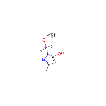 CCSP(=S)(OC(C)C)n1nc(C)cc1O